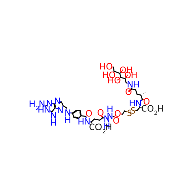 C[C@@H](CCC(=O)NC[C@H](O)[C@@H](O)[C@H](O)[C@H](O)CO)C(=O)N[C@H](CSSCCOC(=O)NNC(=O)CC[C@H](NC(=O)c1ccc(NCc2cnc3nc(N)[nH]c(=N)c3n2)cc1)C(=O)O)C(=O)O